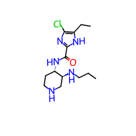 CCCN[C@H]1CNCC[C@@H]1NC(=O)c1nc(Cl)c(CC)[nH]1